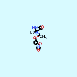 CCc1nn(CC(C)COC(=O)c2cccc(C(=O)N3CCOCC3)c2)c2c1C(=O)NCC1(CCOCC1)C2